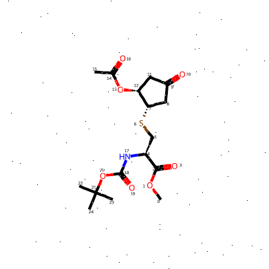 COC(=O)[C@H](CS[C@H]1CC(=O)C[C@@H]1OC(C)=O)NC(=O)OC(C)(C)C